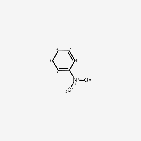 O=[N+]([O-])C1=C[CH]CC=C1